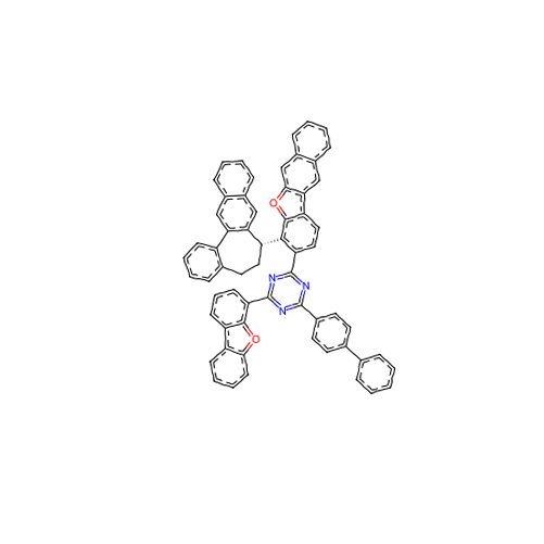 c1ccc(-c2ccc(-c3nc(-c4ccc5c(oc6cc7ccccc7cc65)c4[C@@H]4CCc5ccccc5-c5cc6ccccc6cc54)nc(-c4cccc5c4oc4ccccc45)n3)cc2)cc1